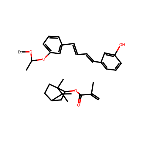 C=C(C)C(=O)OC1CC2CCC1(C)C2(C)C.CCOC(C)Oc1cccc(C=CC=Cc2cccc(O)c2)c1